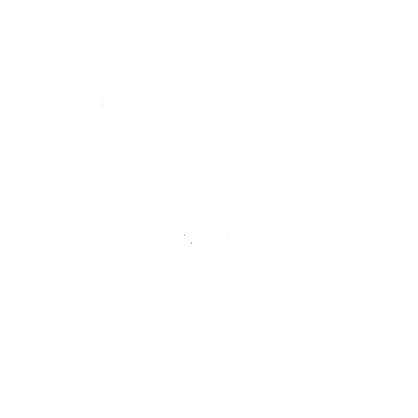 CBC(CC(=P)N1CCC(Oc2ccc(Cc3ccccc3CC)cc2)CC1)Cc1cc(F)c(F)cc1F